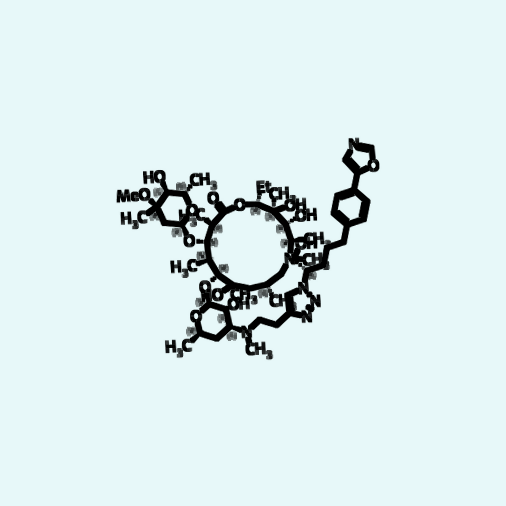 CC[C@H]1OC(=O)[C@H](C)[C@@H](O[C@H]2C[C@@](C)(OC)[C@@H](O)[C@H](C)O2)[C@H](C)[C@@H](O[C@@H]2O[C@H](C)C[C@H](N(C)CCc3cn([C@H](CO)CCCc4ccc(-c5cnco5)cc4)nn3)[C@H]2O)[C@](C)(O)C[C@@H](C)CN(C)[C@H](C)[C@@H](O)[C@]1(C)O